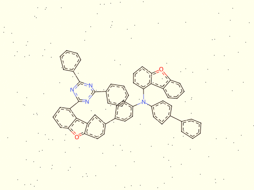 c1ccc(-c2ccc(N(c3ccc(-c4ccc5oc6cccc(-c7nc(-c8ccccc8)nc(-c8ccccc8)n7)c6c5c4)cc3)c3cccc4oc5ccccc5c34)cc2)cc1